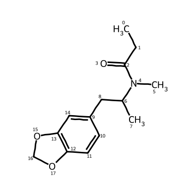 CCC(=O)N(C)C(C)Cc1ccc2c(c1)OCO2